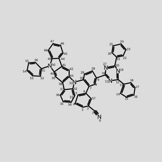 N#Cc1cccc(-c2cc(-c3nc(-c4ccccc4)nc(-c4ccccc4)n3)ccc2-n2c3ccccc3c3cc4c(cc32)c2ccccc2n4-c2ccccc2)c1